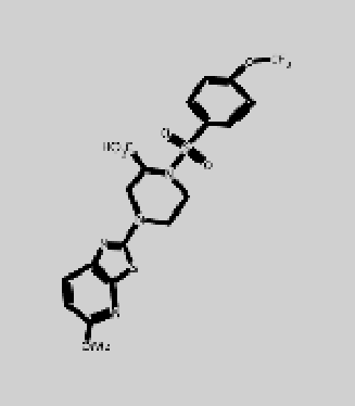 COc1ccc2nc(N3CCN(S(=O)(=O)c4ccc(OC(F)(F)F)cc4)C(C(=O)O)C3)sc2n1